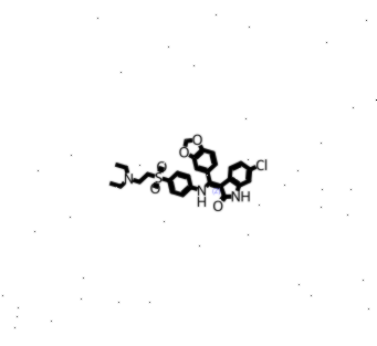 CCN(CC)CCS(=O)(=O)c1ccc(N/C(=C2\C(=O)Nc3cc(Cl)ccc32)c2ccc3c(c2)OCO3)cc1